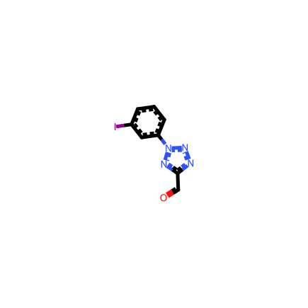 O=Cc1nnn(-c2cccc(I)c2)n1